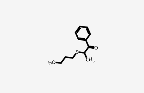 CC(SCCCO)C(=O)c1ccccc1